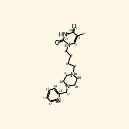 Cc1cn(CCCCN2CCN(Cc3ccccn3)CC2)c(=O)[nH]c1=O